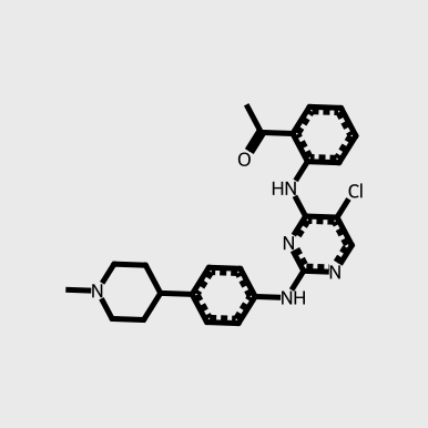 CC(=O)c1ccccc1Nc1nc(Nc2ccc(C3CCN(C)CC3)cc2)ncc1Cl